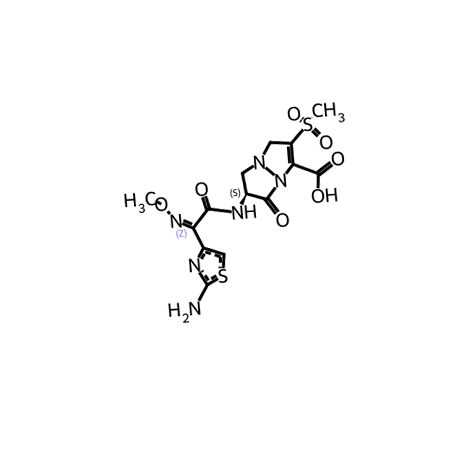 CO/N=C(\C(=O)N[C@H]1CN2CC(S(C)(=O)=O)=C(C(=O)O)N2C1=O)c1csc(N)n1